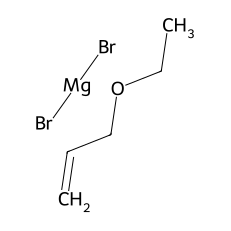 C=CCOCC.[Br][Mg][Br]